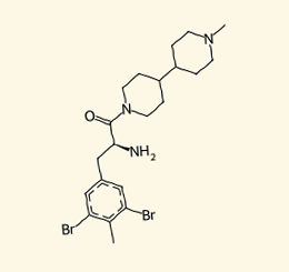 Cc1c(Br)cc(C[C@H](N)C(=O)N2CCC(C3CCN(C)CC3)CC2)cc1Br